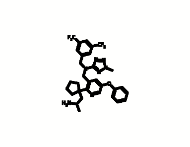 CC(N)CC1(c2ncc(Oc3ccccc3)cc2CN(Cc2cc(C(F)(F)F)cc(C(F)(F)F)c2)c2nnn(C)n2)CCCC1